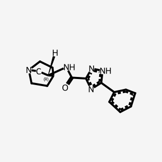 O=C(N[C@H]1CN2CCC1CC2)c1n[nH]c(-c2ccccc2)n1